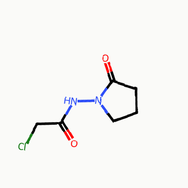 O=C(CCl)NN1CCCC1=O